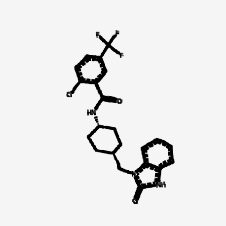 O=C(N[C@H]1CC[C@H](Cn2c(=O)[nH]c3ccccc32)CC1)c1cc(C(F)(F)F)ccc1Cl